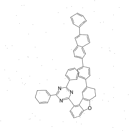 C1=CC(c2nc(-c3ccccc3)nc(-c3cccc4oc5c(c34)C=C(c3ccc(-c4ccc6cc(-c7ccccc7)ccc6c4)cc3)CC5)n2)=CCC1